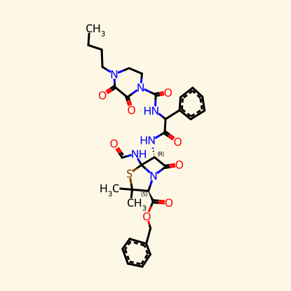 CCCCN1CCN(C(=O)NC(C(=O)N[C@@H]2C(=O)N3[C@@H](C(=O)OCc4ccccc4)C(C)(C)SC23NC=O)c2ccccc2)C(=O)C1=O